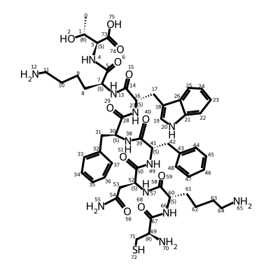 C[C@@H](O)[C@H](NC(=O)[C@H](CCCCN)NC(=O)[C@H](Cc1c[nH]c2ccccc12)NC(=O)[C@H](Cc1ccccc1)NC(=O)[C@H](Cc1ccccc1)NC(=O)[C@H](CC(N)=O)NC(=O)[C@H](CCCCN)NC(=O)[C@@H](N)CS)C(=O)O